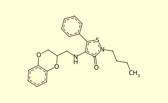 CCCCn1sc(-c2ccccc2)c(NCC2COc3ccccc3O2)c1=O